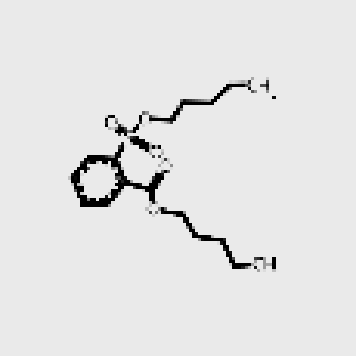 CCCCCOC(=O)c1ccccc1S(=O)(=O)OCCCCC